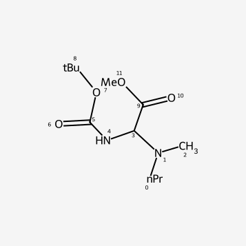 CCCN(C)C(NC(=O)OC(C)(C)C)C(=O)OC